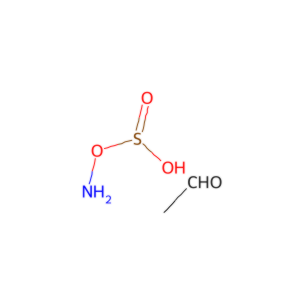 CC=O.NOS(=O)O